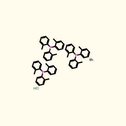 Cc1ccccc1P(c1ccccc1C)c1ccccc1C.Cc1ccccc1P(c1ccccc1C)c1ccccc1C.Cc1ccccc1P(c1ccccc1C)c1ccccc1C.Cl.[Rh]